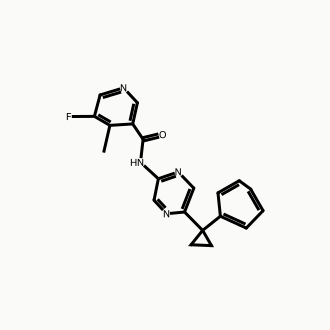 Cc1c(F)cncc1C(=O)Nc1cnc(C2(c3ccccc3)CC2)cn1